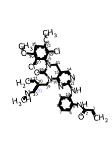 C=CC(=O)Nc1ccccc1Nc1ncc2c(n1)N(C/C(C=C)=C/NC)C(=O)N(c1c(Cl)c(CC)cc(OC)c1Cl)C2